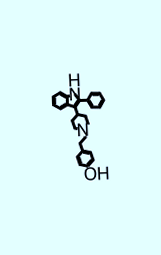 Oc1ccc(CCN2CCC(c3c(-c4ccccc4)[nH]c4ccccc34)CC2)cc1